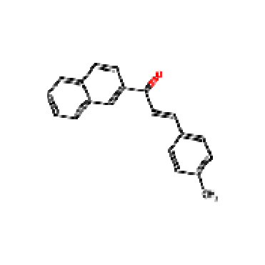 Cc1ccc(/C=C/C(=O)c2ccc3ccccc3c2)cc1